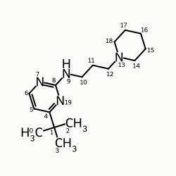 CC(C)(C)c1ccnc(NCCCN2CCCCC2)n1